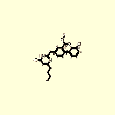 CCCCc1cc(=O)[nH]c(Cc2ccc(-c3cccc(Cl)c3)c(C(=O)OC)c2)n1